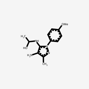 COc1ccc(-n2nc(C)c(N)c2NC(C)O)cc1